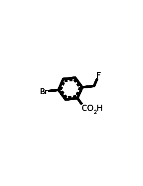 O=C(O)c1cc(Br)ccc1CF